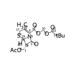 CC(=O)OC[C@H]1C(=O)N2C(C(=O)OCOC(=O)C(C)(C)C)=C(C)CS[C@H]12